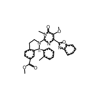 COC(=O)c1ccc2c(c1)[C@H](c1ccccc1C)N(c1nc(-c3nc4ccccc4o3)c(OC)c(=O)n1C)CC2